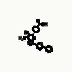 Nc1c(Br)c([C@H]2CC[C@H](C(=O)O)CC2)nc2c(-c3ccc(-c4ccncc4)nc3)cnn12